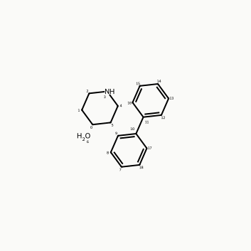 C1CCNCC1.O.c1ccc(-c2ccccc2)cc1